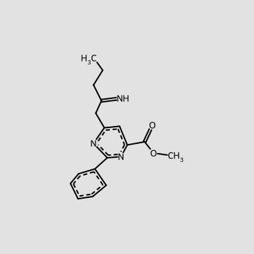 CCCC(=N)Cc1cc(C(=O)OC)nc(-c2ccccc2)n1